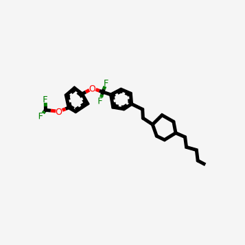 CCCCCC1CCC(CCc2ccc(C(F)(F)Oc3ccc(OC(F)F)cc3)cc2)CC1